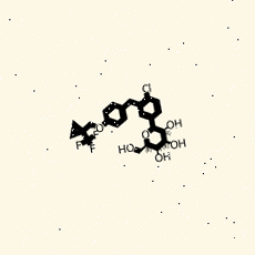 OC[C@H]1OC(c2ccc(Cl)c(Cc3ccc(OCC4(C(F)(F)F)CC4)cc3)c2)[C@H](O)[C@@H](O)[C@@H]1O